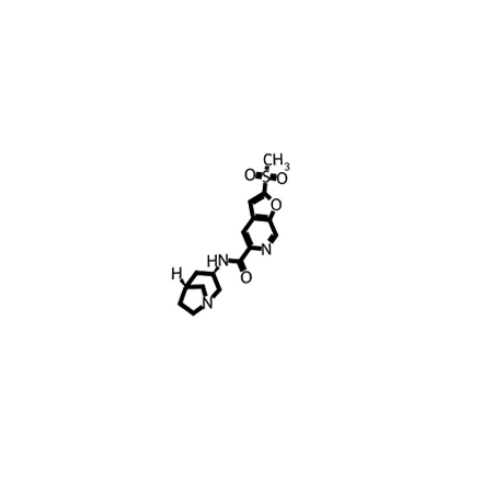 CS(=O)(=O)c1cc2cc(C(=O)N[C@@H]3C[C@H]4CCN(C4)C3)ncc2o1